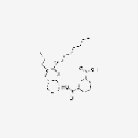 CCCCCCCOC(=O)C(=CC1CCCCC1)CCC.O=C(O)C1CCCC(C(=O)O)C1